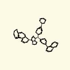 c1ccc(-c2ccc(N(c3ccc(-c4cccc5ccccc45)cc3)c3ccc(-c4cccc5c4ccc4ccccc45)c4ccccc34)cc2)cc1